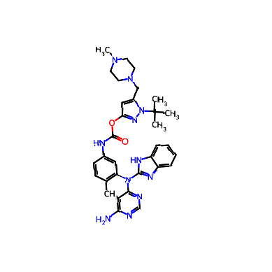 Cc1ccc(NC(=O)Oc2cc(CN3CCN(C)CC3)n(C(C)(C)C)n2)cc1N(c1cc(N)ncn1)c1nc2ccccc2[nH]1